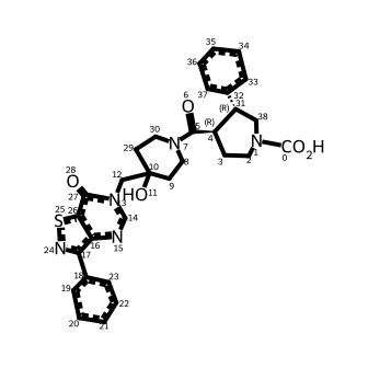 O=C(O)N1CC[C@@H](C(=O)N2CCC(O)(Cn3cnc4c(-c5ccccc5)nsc4c3=O)CC2)[C@H](c2ccccc2)C1